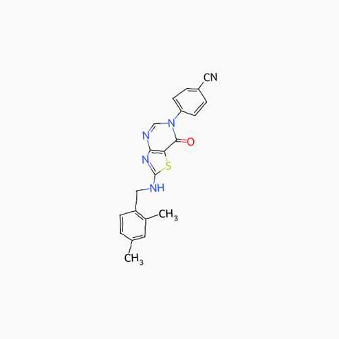 Cc1ccc(CNc2nc3ncn(-c4ccc(C#N)cc4)c(=O)c3s2)c(C)c1